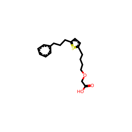 O=C(O)COCCCCc1ccc(CCCc2ccccc2)s1